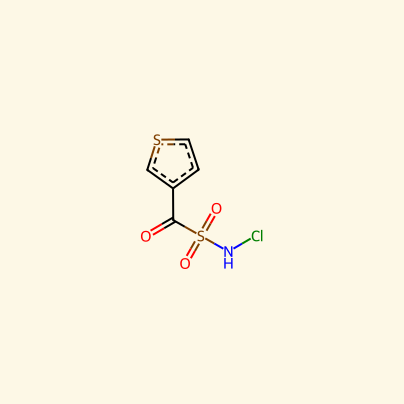 O=C(c1ccsc1)S(=O)(=O)NCl